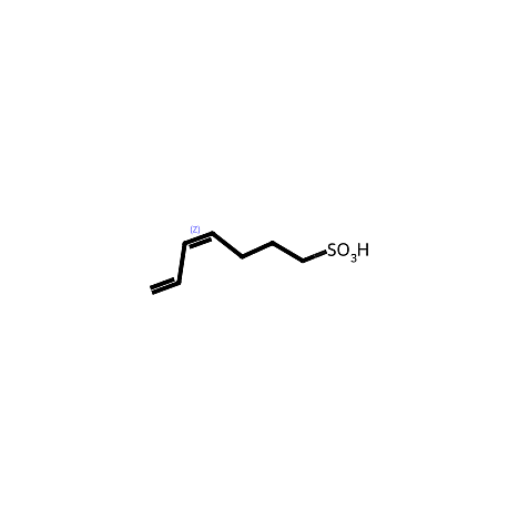 C=C/C=C\CCCS(=O)(=O)O